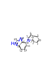 [c]1ccc2c(c1)ccn2-c1cccc2[nH]cnc12